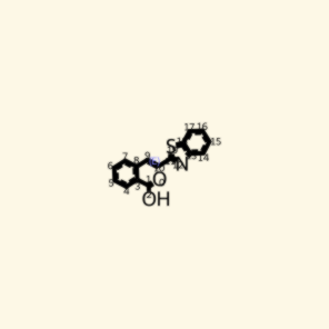 O=C(O)c1ccccc1/C=C/c1nc2ccccc2s1